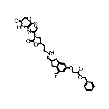 O=C1COc2ncc(N3CC(CCNCC4Cc5cc(OCC(=O)OCc6ccccc6)cc(F)c5C4)OC3=O)nc2N1